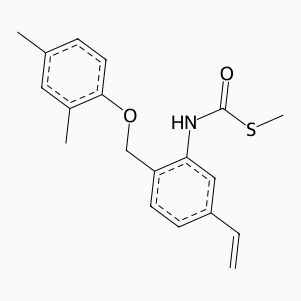 C=Cc1ccc(COc2ccc(C)cc2C)c(NC(=O)SC)c1